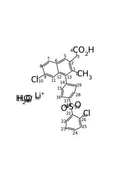 Cc1c(CC(=O)O)cc2ccc(Cl)cc2c1-c1ccc(S(=O)(=O)c2ccccc2Cl)cc1.O.[Li+].[OH-]